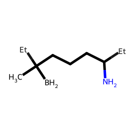 BC(C)(CC)CCCC(N)CC